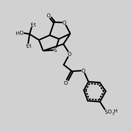 CCC(O)(CC)C1C2SC3C(OC(=O)C31)C2OCC(=O)Oc1ccc(S(=O)(=O)O)cc1